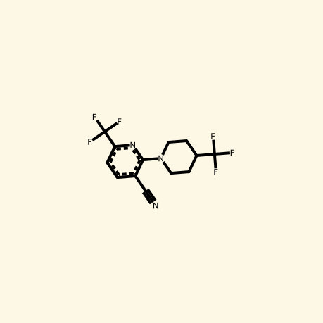 N#Cc1ccc(C(F)(F)F)nc1N1CCC(C(F)(F)F)CC1